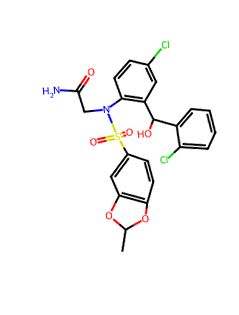 CC1Oc2ccc(S(=O)(=O)N(CC(N)=O)c3ccc(Cl)cc3C(O)c3ccccc3Cl)cc2O1